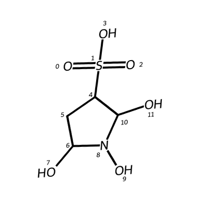 O=S(=O)(O)C1CC(O)N(O)C1O